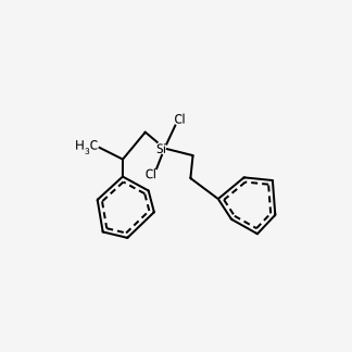 CC(C[Si](Cl)(Cl)CCc1ccccc1)c1ccccc1